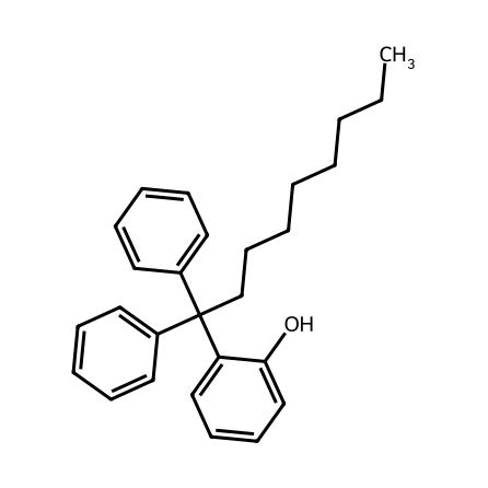 CCCCCCCCC(c1ccccc1)(c1ccccc1)c1ccccc1O